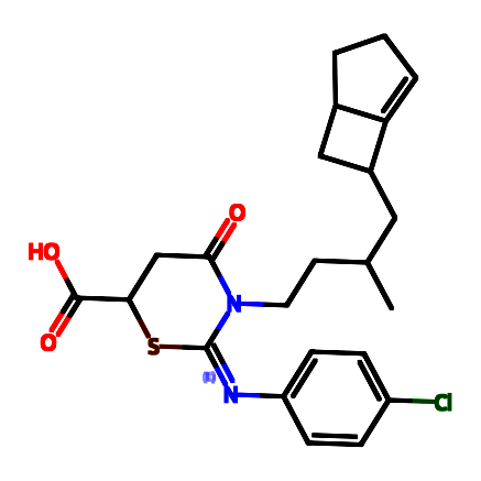 CC(CCN1C(=O)CC(C(=O)O)S/C1=N/c1ccc(Cl)cc1)CC1CC2CCC=C21